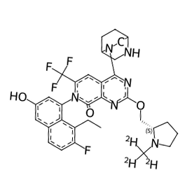 [2H]C([2H])([2H])N1CCC[C@H]1COc1nc(N2CC3CCC2CN3)c2cc(C(F)(F)F)n(-c3cc(O)cc4ccc(F)c(CC)c34)c(=O)c2n1